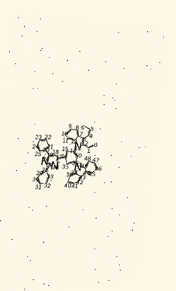 C=Cc1c(/C=C\C)c2ccccc2n1-c1cc(-c2cc(-c3ccccc3)nc(-c3ccccc3)n2)cc(-n2c3ccccc3c3ccccc32)c1